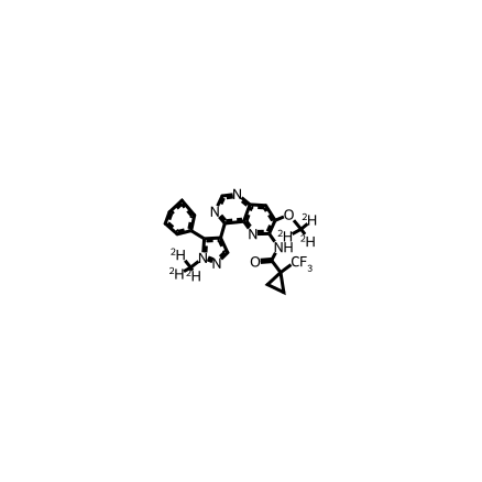 [2H]C([2H])([2H])Oc1cc2ncnc(-c3cnn(C([2H])([2H])[2H])c3-c3ccccc3)c2nc1NC(=O)C1(C(F)(F)F)CC1